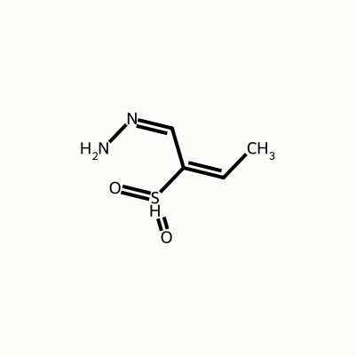 C/C=C(\C=N/N)[SH](=O)=O